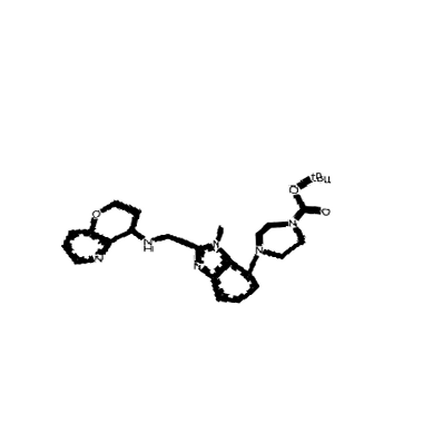 Cn1c(CNC2CCOc3cccnc32)nc2cccc(N3CCN(C(=O)OC(C)(C)C)CC3)c21